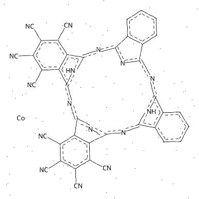 N#Cc1c(C#N)c(C#N)c2c(c1C#N)-c1nc-2nc2[nH]c(nc3nc(nc4[nH]c(n1)c1ccccc41)-c1ccccc1-3)c1c(C#N)c(C#N)c(C#N)c(C#N)c21.[Co]